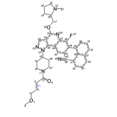 COC/C=C/C(=O)N1CCC(n2ncc3c(OCC4CCCN4C)nc4c(F)c(-c5cccc6cccc(C#N)c56)c(C)cc4c32)CC1